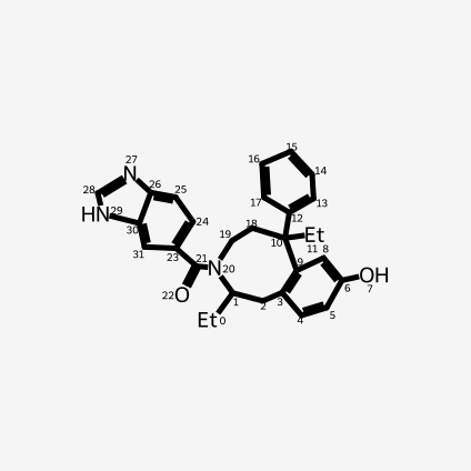 CCC1Cc2ccc(O)cc2C(CC)(c2ccccc2)CCN1C(=O)c1ccc2nc[nH]c2c1